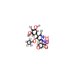 COc1cc(-c2c(COC3CCCC3)cc(NC3(C(=O)O)CCOCC3)nc2C)cc(OC)c1C